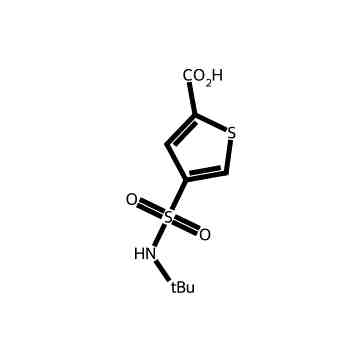 CC(C)(C)NS(=O)(=O)c1csc(C(=O)O)c1